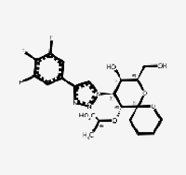 C[C@@H](O[C@@H]1[C@@H](n2cc(-c3cc(F)c(F)c(F)c3)nn2)[C@@H](O)[C@@H](CO)O[C@@]12CCCCO2)C(=O)O